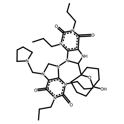 CCCn1c2c(c(=O)n(CCC)c1=O)N(CN1CCCC1)CN2N1c2c(c(=O)n(CCC)c(=O)n2CCC)NC1C12CCCC(O)(CCC1)O2